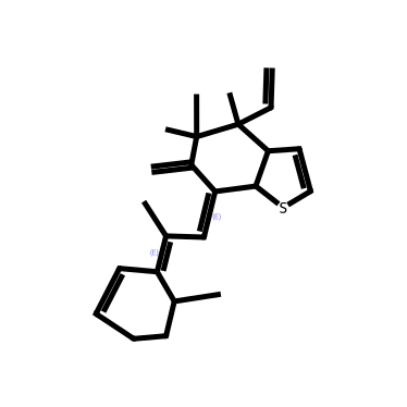 C=CC1(C)C2C=CSC2/C(=C/C(C)=C2/C=CCCC2C)C(=C)C1(C)C